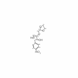 CCO.O=[N+]([O-])c1ccc(CC(O)COCC2OCCO2)cc1